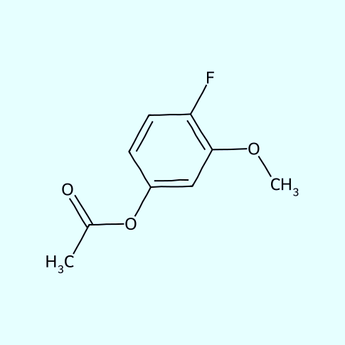 COc1cc(OC(C)=O)ccc1F